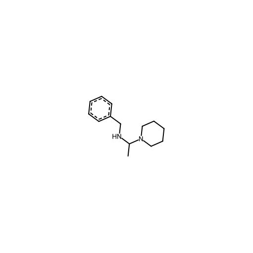 CC(NCc1ccccc1)N1CCCCC1